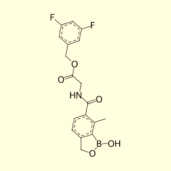 Cc1c(C(=O)NCC(=O)OCc2cc(F)cc(F)c2)ccc2c1B(O)OC2